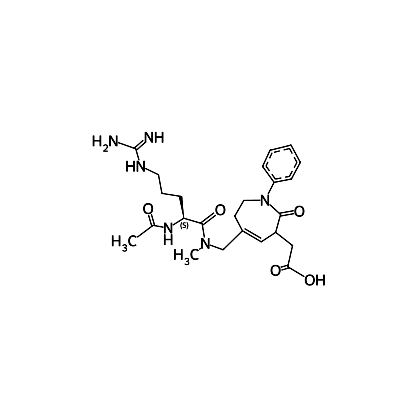 CC(=O)N[C@@H](CCCNC(=N)N)C(=O)N(C)CC1=CC(CC(=O)O)C(=O)N(c2ccccc2)CC1